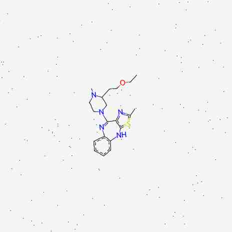 CCOCCC1CN(C2=Nc3ccccc3Nc3sc(C)nc32)CCN1C